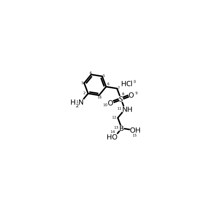 Cl.Nc1cccc(CS(=O)(=O)NCB(O)O)c1